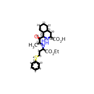 CCOC(=O)C(CCSc1ccccc1)N[C@@H](C)C(=O)C1NC(C(=O)O)CC2CCCCC21